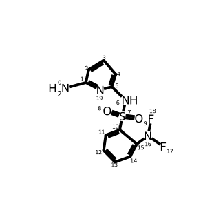 Nc1cccc(NS(=O)(=O)c2ccccc2N(F)F)n1